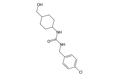 O=C(NCc1ccc(Cl)cc1)NC1CCC(CO)CC1